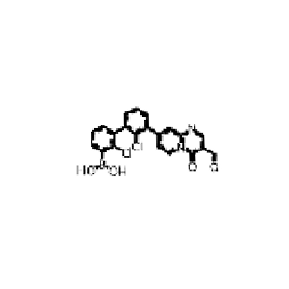 O=Cc1cnc2cc(-c3cccc(-c4cccc(B(O)O)c4Cl)c3Cl)ccn2c1=O